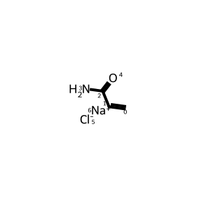 C=CC(N)=O.[Cl-].[Na+]